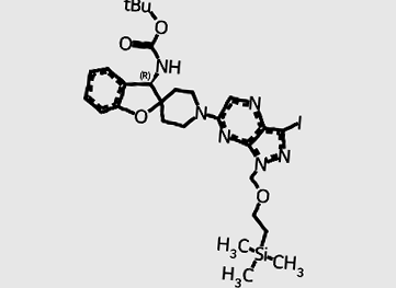 CC(C)(C)OC(=O)N[C@@H]1c2ccccc2OC12CCN(c1cnc3c(I)nn(COCC[Si](C)(C)C)c3n1)CC2